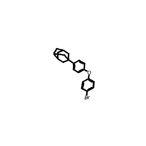 Brc1ccc(Oc2ccc(C34CC5CC(C3)C(C5)C4)cc2)cc1